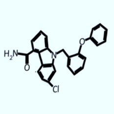 NC(=O)c1cccc2c1c1[c]cc(Cl)cc1n2Cc1ccccc1Oc1ccccc1